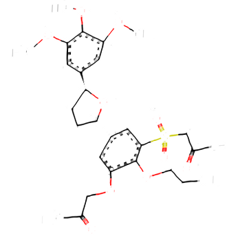 CCCOc1c(OCC(C)=O)cc([C@@H]2CC[C@@H](c3cc(OC)c(OC)c(OC)c3)O2)cc1S(=O)(=O)CC(C)=O